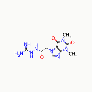 Cn1c(=O)c2c(ncn2CC(=O)NNC(=N)N)n(C)c1=O